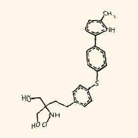 Cc1ccc(-c2ccc(Sc3ccc(CCC(CO)(CO)NCl)cc3)cc2)[nH]1